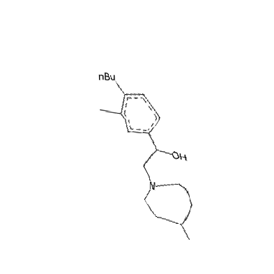 CCCCc1ccc(C(O)CN2CCC(C)CC2)cc1C